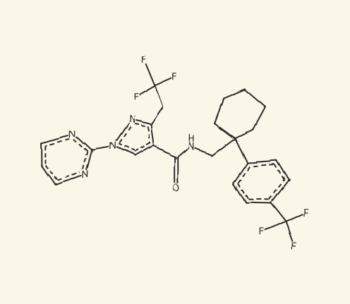 O=C(NCC1(c2ccc(C(F)(F)F)cc2)CCCCC1)c1cn(-c2ncccn2)nc1CC(F)(F)F